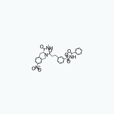 CNC(=O)[C@@H]1Cc2ccc([N+](=O)[O-])cc2CN1C(=O)CCc1cccc(S(=O)(=O)NC(=O)c2ccccc2)c1